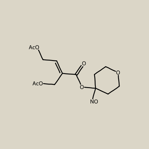 CC(=O)OCC=C(COC(C)=O)C(=O)OC1(N=O)CCOCC1